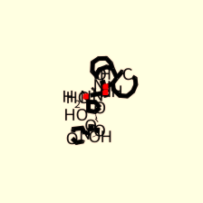 NC1NC(=O)C23C4CCCCCCCCC4C4CCCCCC(CC4)N2CN([C@@H]2O[C@H](COP(=O)(O)N4CCOCC4)[C@@H](O)[C@H]2O)C3N1